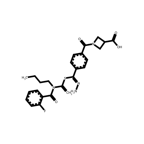 C=C(S/C(=N\N)c1ccc(C(=O)N2CC(C(=O)O)C2)cc1)N(CCCC)C(=O)c1ccccc1F